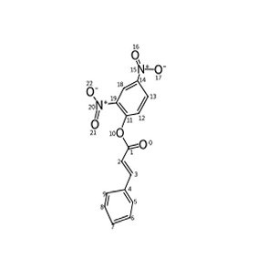 O=C(C=Cc1ccccc1)Oc1ccc([N+](=O)[O-])cc1[N+](=O)[O-]